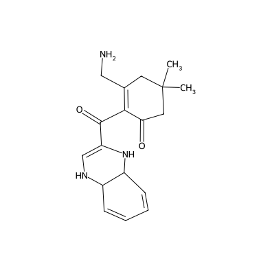 CC1(C)CC(=O)C(C(=O)C2=CNC3C=CC=CC3N2)=C(CN)C1